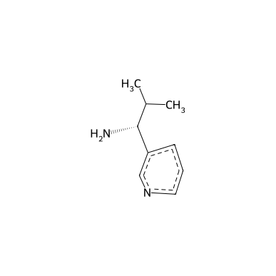 CC(C)[C@@H](N)c1cccnc1